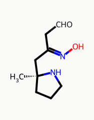 C[C@@]1(CC(CC=O)=NO)CCCN1